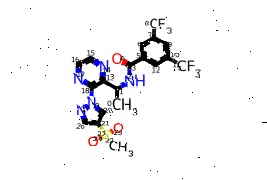 CC(NC(=O)c1cc(C(F)(F)F)cc(C(F)(F)F)c1)c1nccnc1-n1cc(S(C)(=O)=O)cn1